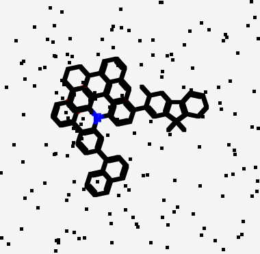 CC1CC2=C(C=C1c1ccc(N(c3cc(-c4cccc5ccccc45)ccc3-c3ccccc3)c3ccccc3-c3cccc4cccc(C5CCCCC5)c34)cc1)C(C)(C)C1=C2C=CCC1